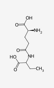 CCC(NC(=O)CC[C@H](N)C(=O)O)C(=O)O